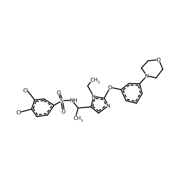 CCn1c(C(C)NS(=O)(=O)c2ccc(Cl)c(Cl)c2)cnc1Oc1cccc(N2CCOCC2)c1